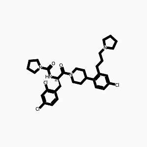 O=C(N[C@H](Cc1ccc(Cl)cc1Cl)C(=O)N1CCC(c2ccc(Cl)cc2CCCN2CCCC2)CC1)N1CCCC1